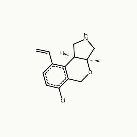 C=Cc1ccc(Cl)c2c1[C@H]1CNC[C@@]1(C)OC2